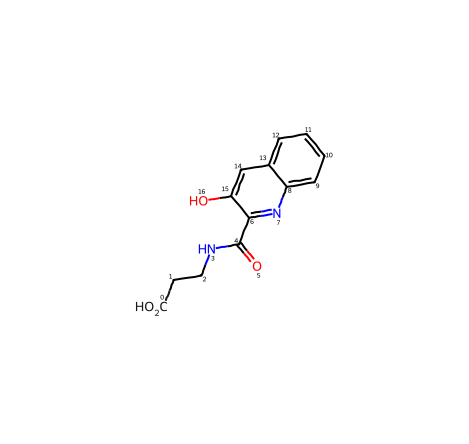 O=C(O)CCNC(=O)c1nc2ccccc2cc1O